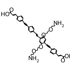 NCCOCCOc1cc(C#Cc2ccc(/C=C/C(=O)O)cc2)c(OCCOCCN)cc1C#Cc1ccc(C#Cc2ccc(/C=C/C(=O)O)cc2)cc1